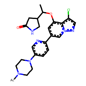 CC(=O)N1CCN(c2ccc(-c3cc(OC(C)C4CNC(=O)C4)c4c(Cl)cnn4c3)nc2)CC1